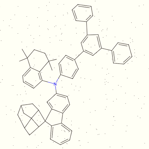 CC1(C)CCC(C)(C)c2c(N(c3ccc(-c4cc(-c5ccccc5)cc(-c5ccccc5)c4)cc3)c3ccc4c(c3)C3(c5ccccc5-4)C4CC5CC6CC3C64C5)cccc21